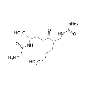 CCCCCCC(=O)NCC(CCCC(=O)O)C(=O)CC[C@H](NC(=O)CN)C(=O)O